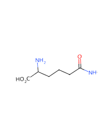 [NH]C(=O)CCCC(N)C(=O)O